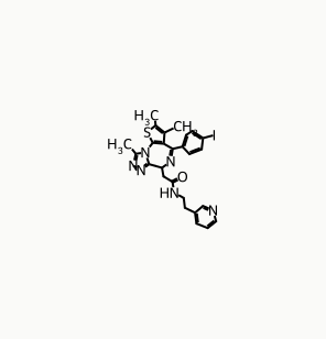 Cc1sc2c(c1C)C(c1ccc(I)cc1)=NC(CC(=O)NCCc1cccnc1)c1nnc(C)n1-2